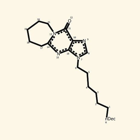 CCCCCCCCCCCCCCCCn1cnc2c(=O)n3c(nc21)CCCCC3